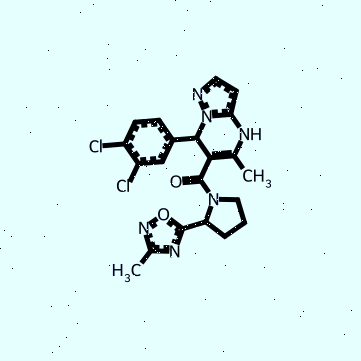 CC1=C(C(=O)N2CCCC2c2nc(C)no2)C(c2ccc(Cl)c(Cl)c2)n2nccc2N1